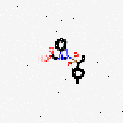 C=CC(c1ccc(C)cc1)S(=O)(=O)NCN(CC(=O)O)c1ccccc1